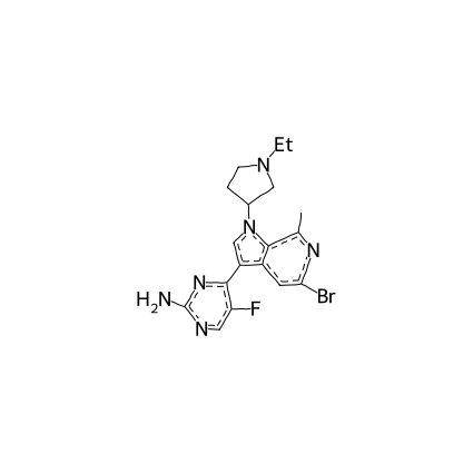 CCN1CCC(n2cc(-c3nc(N)ncc3F)c3cc(Br)nc(C)c32)C1